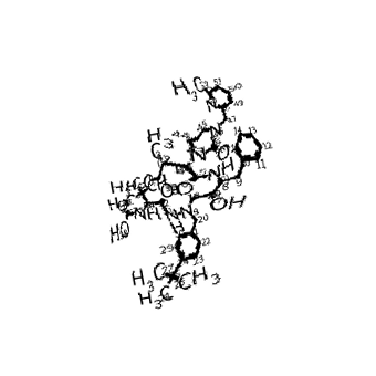 CC[C@H](C)[C@@H](C(=O)N[C@@H](Cc1ccccc1)[C@@H](O)CN(Cc1ccc(C(C)(C)C)cc1)NC(=O)[C@@H](NC(=O)O)C(C)(C)C)N1CCN(Cc2cccc(C)n2)C1=O